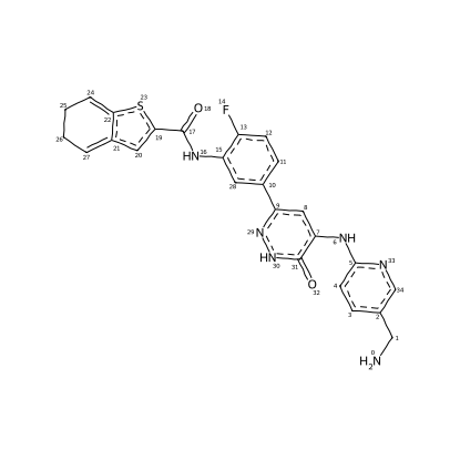 NCc1ccc(Nc2cc(-c3ccc(F)c(NC(=O)c4cc5c(s4)=CCCC=5)c3)n[nH]c2=O)nc1